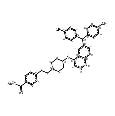 COC(=O)c1ccc(CCN2CCC(Nc3cnnc4ccc(C(c5ccc(Cl)cc5)c5ccc(Cl)cc5)cc34)CC2)cc1